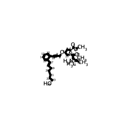 COC(=O)[C@@H]1C[C@@H](OCC#Cc2ccccc2/C=C/CCCCCO)CN1C(=O)[C@@H](N)C(C)(C)C